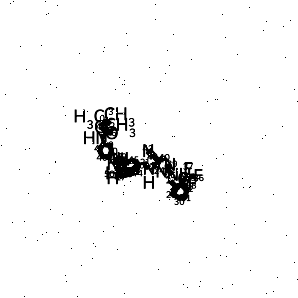 CC(C)(C)OC(=O)N[C@H]1CC[C@H](N[C@@H]2[C@@H]3CC4C[C@H]2C[C@@](CNc2nc(NCc5ccccc5OC(F)(F)F)ncc2C#N)(C4)C3)CC1